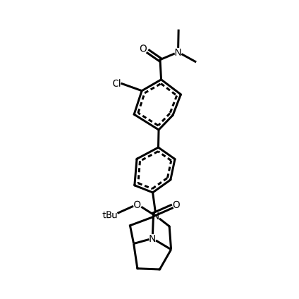 CN(C)C(=O)c1ccc(-c2ccc(N3CC4CCC(C3)N4C(=O)OC(C)(C)C)cc2)cc1Cl